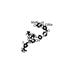 CNc1nc(Nc2ccc(C(=O)N3CCN(C[C@H]4CC[C@H](CSC(C)(C)[C@H](NC(=O)C5(F)CC5)C(=O)N5C[C@H](O)CCC5C(=O)NCc5ccc(-c6scnc6C)cc5F)CC4)CC3)cc2OC)ncc1Cl